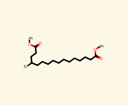 CCC(CCCCCCCCCCCC(=O)OC(C)C)CCC(=O)OC(C)C